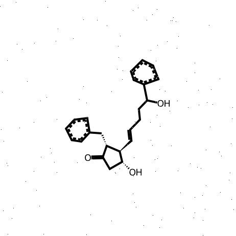 O=C1C[C@@H](O)[C@H](/C=C/CCC(O)c2ccccc2)[C@H]1Cc1ccccc1